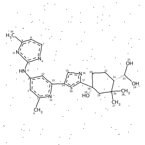 Cc1cc(Nc2nccc(C)n2)cc(-c2cnc([C@@]3(O)CC[C@H](C(O)O)C(C)(C)C3)s2)n1